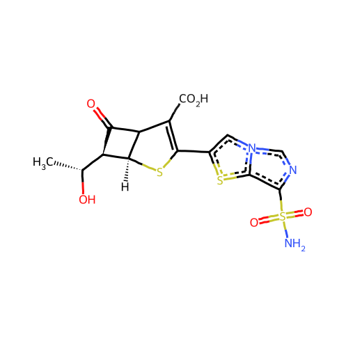 C[C@@H](O)[C@H]1C(=O)C2C(C(=O)O)=C(c3cn4cnc(S(N)(=O)=O)c4s3)S[C@H]21